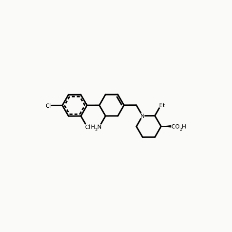 CCC1[C@@H](C(=O)O)CCCN1CC1=CCC(c2ccc(Cl)cc2Cl)C(N)C1